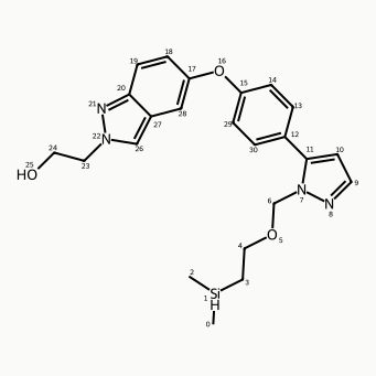 C[SiH](C)CCOCn1nccc1-c1ccc(Oc2ccc3nn(CCO)cc3c2)cc1